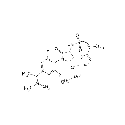 CC(=CS(=O)(=O)NC1CCN(c2c(F)cc(C(C)N(C)C)cc2F)C1=O)c1ccc(Cl)s1.O=CO